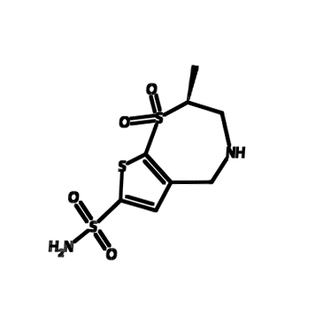 C[C@H]1CNCc2cc(S(N)(=O)=O)sc2S1(=O)=O